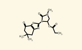 CCC(=O)OC1CN(C)C(=O)N1c1nc2c(s1)C(=O)CC(C)(C)C2